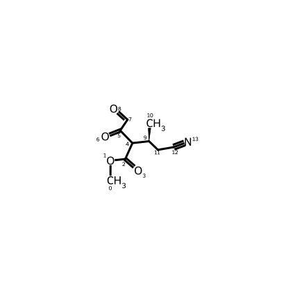 COC(=O)C(C(=O)C=O)[C@@H](C)CC#N